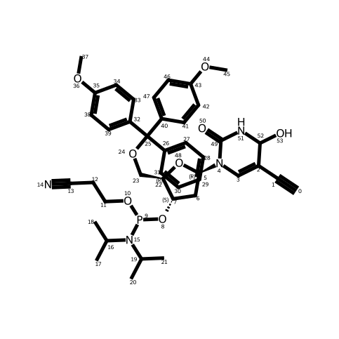 C#CC1=CN([C@H]2C[C@H](OP(OCCC#N)N(C(C)C)C(C)C)[C@@H](COC(c3ccccc3)(c3ccc(OC)cc3)c3ccc(OC)cc3)O2)C(=O)NC1O